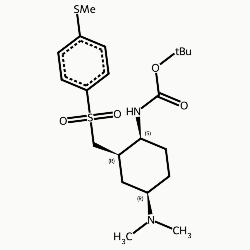 CSc1ccc(S(=O)(=O)C[C@@H]2C[C@H](N(C)C)CC[C@@H]2NC(=O)OC(C)(C)C)cc1